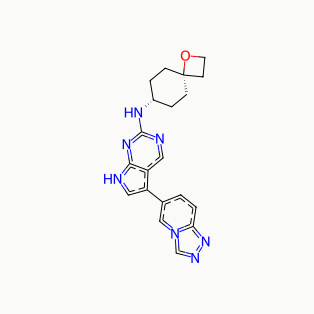 c1cc2nncn2cc1-c1c[nH]c2nc(N[C@H]3CC[C@]4(CCO4)CC3)ncc12